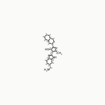 Cn1nc(-c2ccc3ccccc3c2)c(O)c1-c1nc2ccc(CN)cc2[nH]1